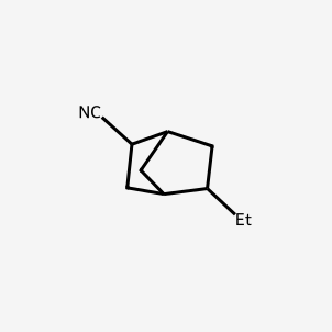 CCC1CC2CC1CC2C#N